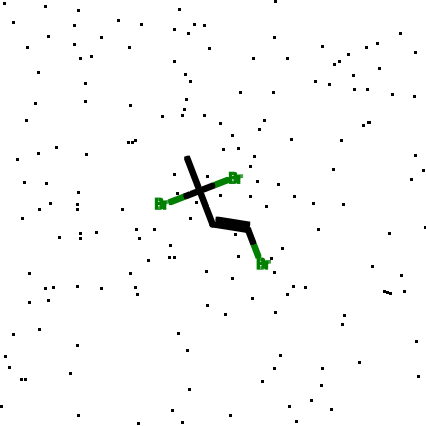 CC(Br)(Br)C=CBr